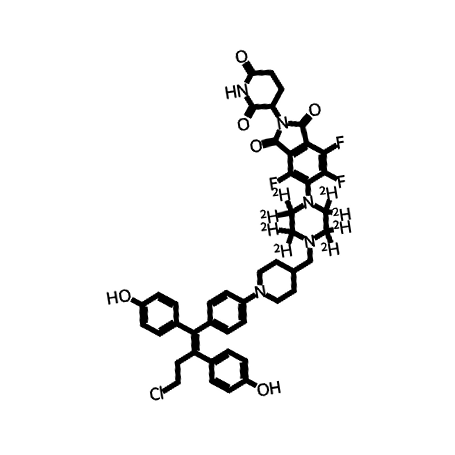 [2H]C1([2H])N(CC2CCN(c3ccc(C(=C(CCCl)c4ccc(O)cc4)c4ccc(O)cc4)cc3)CC2)C([2H])([2H])C([2H])([2H])N(c2c(F)c(F)c3c(c2F)C(=O)N(C2CCC(=O)NC2=O)C3=O)C1([2H])[2H]